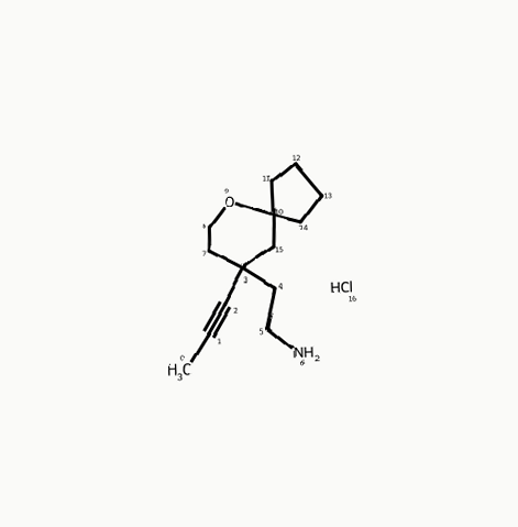 CC#CC1(CCN)CCOC2(CCCC2)C1.Cl